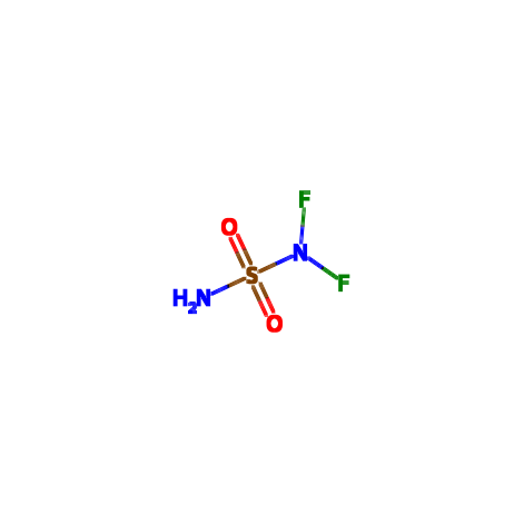 NS(=O)(=O)N(F)F